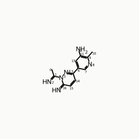 CC(=N)n1nc(-c2cnc(C)c(N)c2)ccc1=N